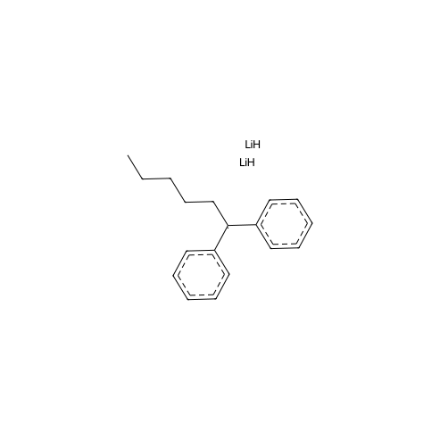 CCCCC[C](c1ccccc1)c1ccccc1.[LiH].[LiH]